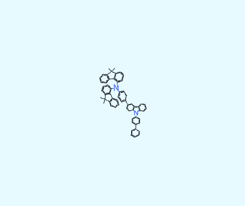 CC1(C)c2ccccc2-c2c(N(c3ccc(-c4ccc5c(c4)c4ccccc4n5-c4ccc(-c5ccccc5)cc4)cc3)c3cccc4c3-c3ccccc3C4(C)C)cccc21